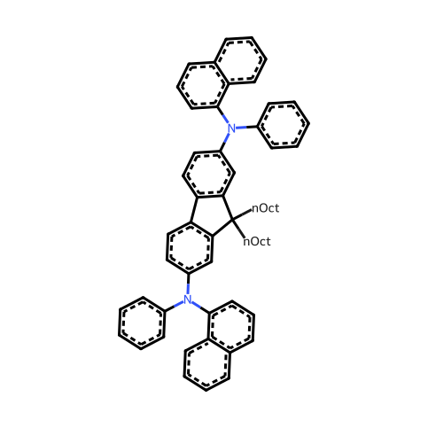 CCCCCCCCC1(CCCCCCCC)c2cc(N(c3ccccc3)c3cccc4ccccc34)ccc2-c2ccc(N(c3ccccc3)c3cccc4ccccc34)cc21